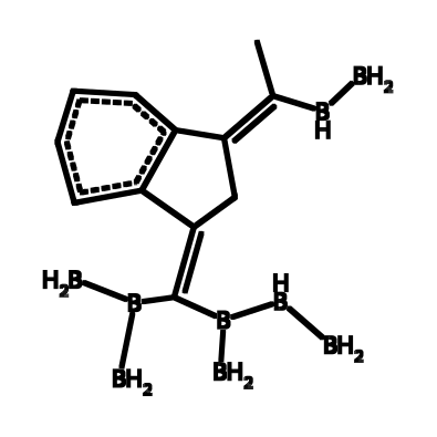 BBB(B)/C(B(B)B)=C1\C/C(=C(/C)BB)c2ccccc21